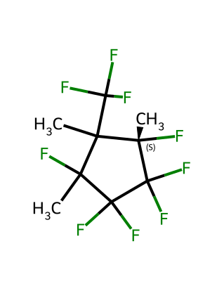 CC1(F)C(F)(F)C(F)(F)[C@@](C)(F)C1(C)C(F)(F)F